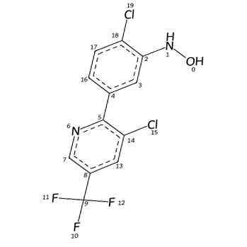 ONc1cc(-c2ncc(C(F)(F)F)cc2Cl)ccc1Cl